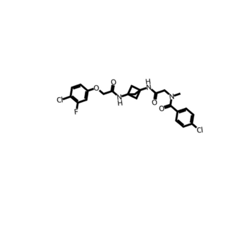 CN(CC(=O)NC12CC(NC(=O)COc3ccc(Cl)c(F)c3)(C1)C2)C(=O)c1ccc(Cl)cc1